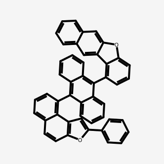 c1ccc(-c2cc3c(ccc4cccc(-c5c6ccccc6c(-c6cccc7oc8cc9ccccc9cc8c67)c6ccccc56)c43)o2)cc1